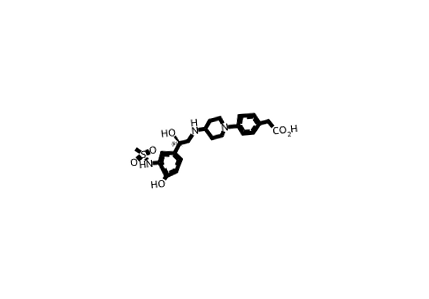 CS(=O)(=O)Nc1cc([C@@H](O)CNC2CCN(c3ccc(CC(=O)O)cc3)CC2)ccc1O